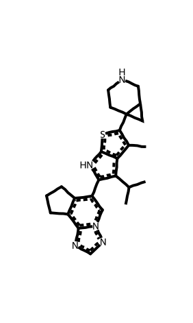 Cc1c(C23CCNCC2C3)sc2[nH]c(-c3cn4ncnc4c4c3CCC4)c(C(C)C)c12